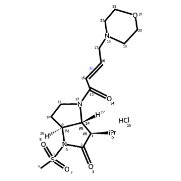 CC(C)[C@H]1C(=O)N(S(C)(=O)=O)[C@H]2CCN(C(=O)/C=C/CN3CCOCC3)[C@H]12.Cl